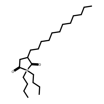 CCCCCCCCCCCCC1CC(=O)[N+](CCCC)(CCCC)C1=O